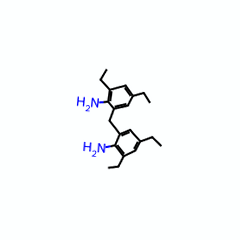 CCc1cc(CC)c(N)c(Cc2cc(CC)cc(CC)c2N)c1